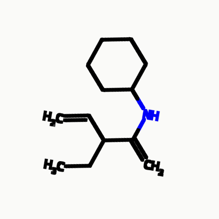 C=CC(CC)C(=C)NC1CCCCC1